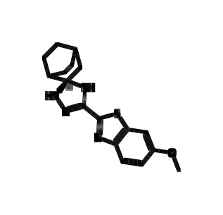 COc1ccc2nc(C3=NN[C@@]4(CC5CCC4CC5)N3)sc2c1